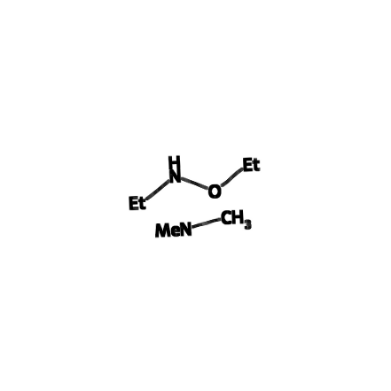 CCNOCC.CNC